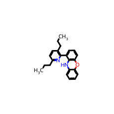 CCCc1ccc(CCC)c(-c2cccc3c2Nc2ccccc2O3)n1